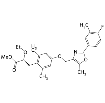 CCO[C@@H](Cc1c(C)cc(OCc2nc(-c3ccc(F)c(C)c3)oc2C)cc1C)C(=O)OC